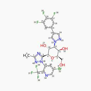 Cc1nc([C@@H]2O[C@H](CO)[C@H](O)[C@H](n3cc(-c4cc(F)c(F)c(F)c4)cn3)[C@H]2O)n(-c2cc(Br)cnc2C(F)(F)F)n1